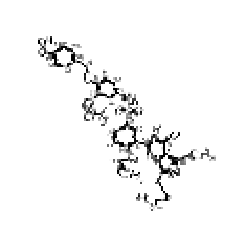 CCCc1nc(C)c2c(=O)[nH]c(-c3cc(S(=O)(=O)Nc4ccc(OCc5ccc(OC)cc5)c(OC)c4)ccc3OCC)nn12